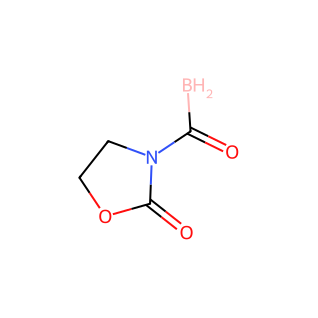 BC(=O)N1CCOC1=O